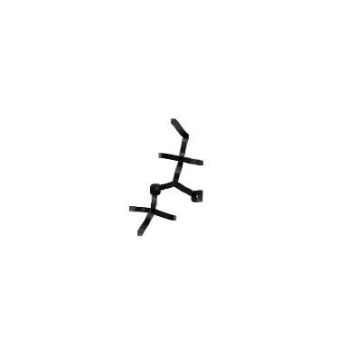 CCC(C)(C)C(Cl)OC(C)(C)C